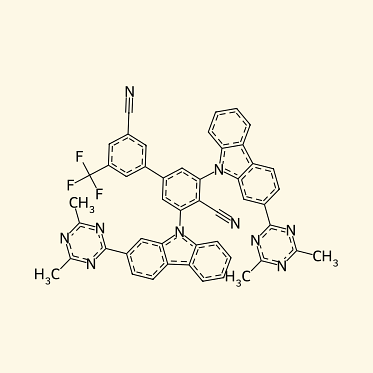 Cc1nc(C)nc(-c2ccc3c4ccccc4n(-c4cc(-c5cc(C#N)cc(C(F)(F)F)c5)cc(-n5c6ccccc6c6ccc(-c7nc(C)nc(C)n7)cc65)c4C#N)c3c2)n1